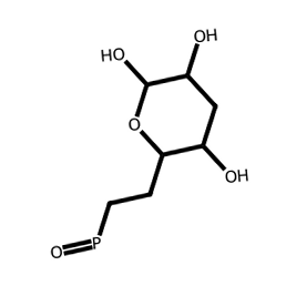 O=PCCC1OC(O)C(O)CC1O